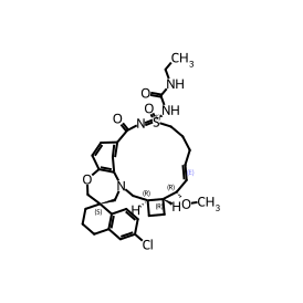 CCNC(=O)N[S@]1(=O)=NC(=O)c2ccc3c(c2)N(C[C@@H]2CC[C@H]2[C@@H](OC)/C=C/CCC1)C[C@@]1(CCCc2cc(Cl)ccc21)CO3